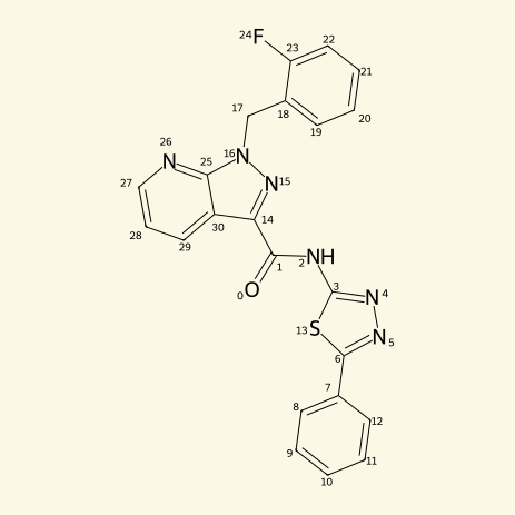 O=C(Nc1nnc(-c2ccccc2)s1)c1nn(Cc2ccccc2F)c2ncccc12